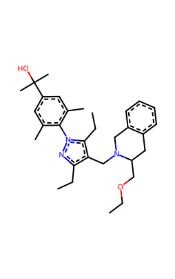 CCOCC1Cc2ccccc2CN1Cc1c(CC)nn(-c2c(C)cc(C(C)(C)O)cc2C)c1CC